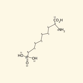 NC(CCCCCCCP(=O)(O)O)C(=O)O